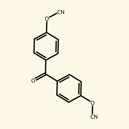 N#COc1ccc(C(=O)c2ccc(OC#N)cc2)cc1